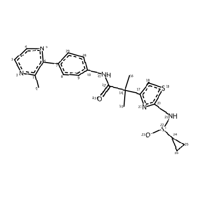 Cc1nccnc1-c1ccc(NC(=O)C(C)(C)c2csc(N[S+]([O-])C3CC3)n2)cc1